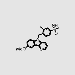 COc1ccc2c(c1)c1ncccc1n2Cc1ccc(S(C)(=N)=O)cc1C